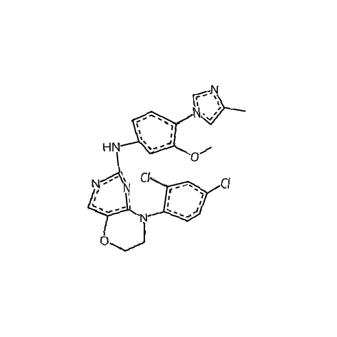 COc1cc(Nc2ncc3c(n2)N(c2ccc(Cl)cc2Cl)CCO3)ccc1-n1cnc(C)c1